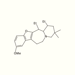 CCC1CC(C)(C)CN2CCc3c(oc4ccc(OC)cc34)C(CC)C12